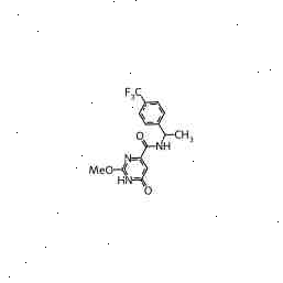 COc1nc(C(=O)NC(C)c2ccc(C(F)(F)F)cc2)cc(=O)[nH]1